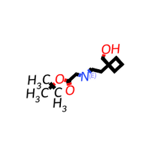 CC(C)(C)OC(=O)C/N=C/CC1(CO)CCC1